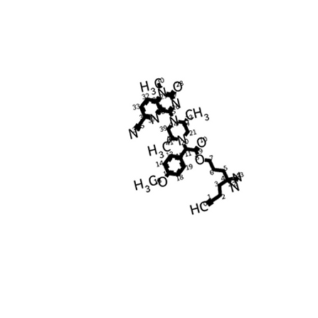 C#CCCC1(CCCOC(=O)C(c2ccc(OC)cc2)N2C[C@H](C)N(c3nc(=O)n(C)c4ccc(C#N)nc34)C[C@H]2C)N=N1